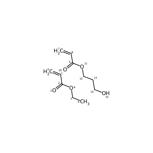 C=CC(=O)OCC.C=CC(=O)OCCCO